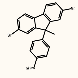 CCCCCCc1ccc(C2(C)c3cc(Br)ccc3-c3ccc(Br)cc32)cc1